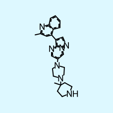 Cc1cc(-c2cnn3cc(N4CCN(C5(C)CCNCC5)CC4)cnc23)c2ccccc2n1